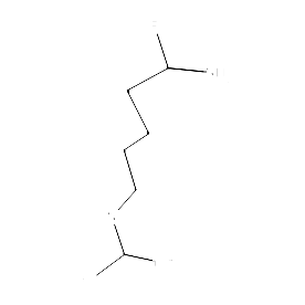 CCCC(CCC)NCCCCC(N)CC